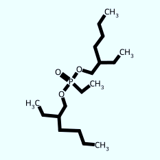 CCCCC(CC)COP(=O)(CC)OCC(CC)CCCC